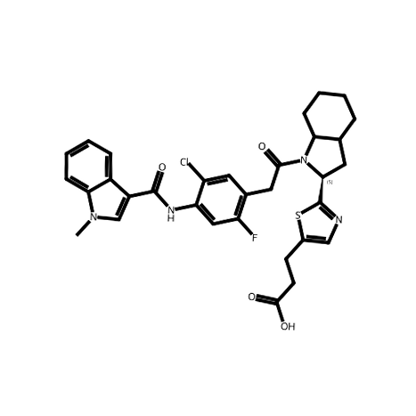 Cn1cc(C(=O)Nc2cc(F)c(CC(=O)N3C4CCCCC4C[C@H]3c3ncc(CCC(=O)O)s3)cc2Cl)c2ccccc21